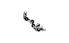 O=C(O)c1ccc2nc(CN3CCC(c4cccc(OCc5ccc6cnn(CC(F)(F)F)c6c5)n4)CC3)n(CC3CCO3)c2n1